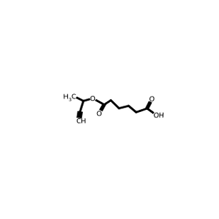 C#CC(C)OC(=O)CCCCC(=O)O